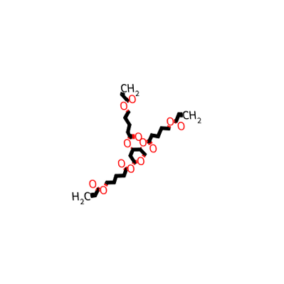 C=CC(=O)OCCCCC(=O)OC1C[C@@H](OC(=O)CCCCOC(=O)C=C)[C@H](OC(=O)CCCCOC(=O)C=C)CO1